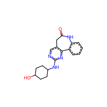 O=C1Cc2cnc(NC3CCC(O)CC3)nc2-c2ccccc2N1